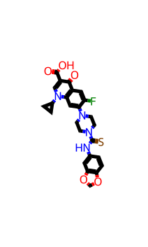 O=C(O)c1cn(C2CC2)c2cc(N3CCN(C(=S)Nc4ccc5c(c4)OCO5)CC3)c(F)cc2c1=O